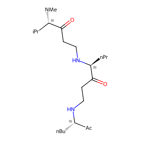 CCCC[C@H](NCCC(=O)[C@H](CCC)NCCC(=O)[C@@H](NC)C(C)C)C(C)=O